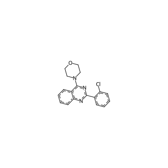 Clc1ccccc1-c1nc(N2CCOCC2)c2ccccc2n1